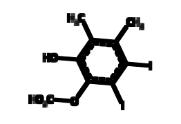 Cc1c(C)c(I)c(I)c(OC(=O)O)c1O